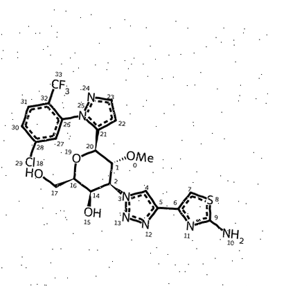 CO[C@@H]1[C@@H](n2cc(-c3csc(N)n3)nn2)[C@@H](O)[C@@H](CO)O[C@H]1c1ccnn1-c1cc(Cl)ccc1C(F)(F)F